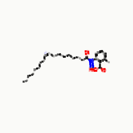 CCCCCCCC/C=C\CCCCCCCC(=O)Nc1cccc(C)c1C(=O)O